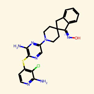 Nc1nc(N2CCC3(CC2)Cc2ccccc2/C3=N\O)cnc1Sc1ccnc(N)c1Cl